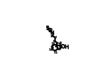 CC(C)(O)C1(CCCCN=C=S)CCCCC1